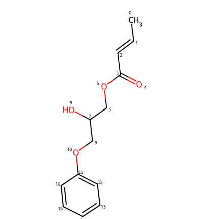 CC=CC(=O)OCC(O)COc1ccccc1